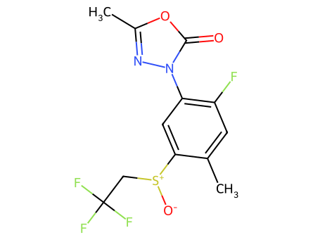 Cc1nn(-c2cc([S+]([O-])CC(F)(F)F)c(C)cc2F)c(=O)o1